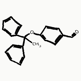 CC(Oc1ccc(C=O)cc1)(c1ccccc1)c1ccccc1